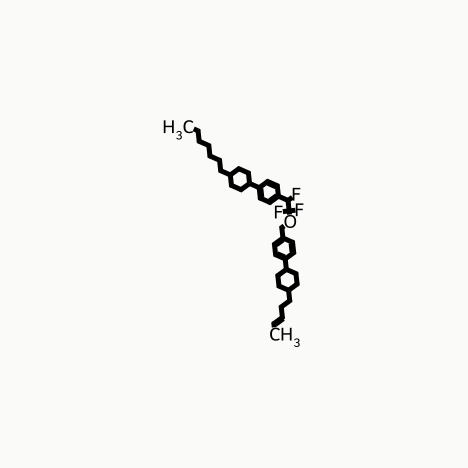 CC=CCCC1CCC(c2ccc(COC(F)(F)C(F)c3ccc(C4CCC(CCCCCCC)CC4)cc3)cc2)CC1